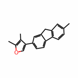 Cc1ccc2c(c1)Cc1cc(-c3coc(C)c3C)ccc1-2